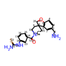 NCc1ccc2c(c1)C1(CCN(C(=O)c3cccc(NC(N)=S)c3)CC1)CO2